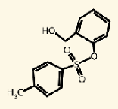 Cc1ccc(S(=O)(=O)Oc2ccccc2CO)cc1